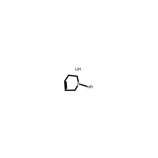 [CH2]CCN1CC=CCC1.[LiH]